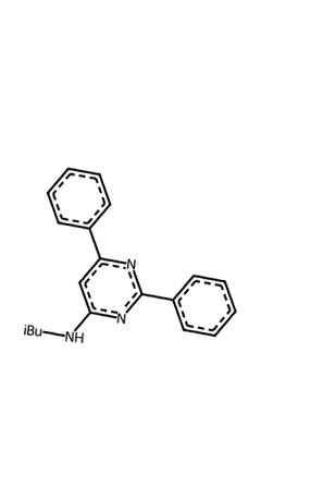 CCC(C)Nc1cc(-c2ccccc2)nc(-c2ccccc2)n1